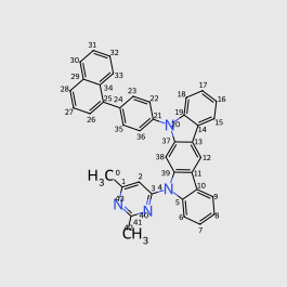 Cc1cc(-n2c3ccccc3c3cc4c5ccccc5n(-c5ccc(-c6cccc7ccccc67)cc5)c4cc32)nc(C)n1